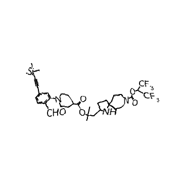 CC(C)(CC1CCC2(CCN(C(=O)OC(C(F)(F)F)C(F)(F)F)CC2)N1)OC(=O)C1CCN(c2cc(C#C[Si](C)(C)C)ccc2C=O)CC1